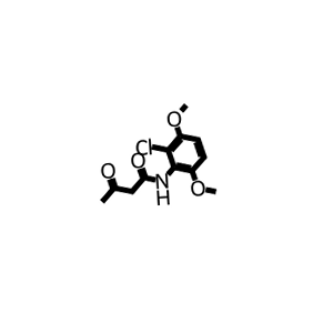 COc1ccc(OC)c(NC(=O)CC(C)=O)c1Cl